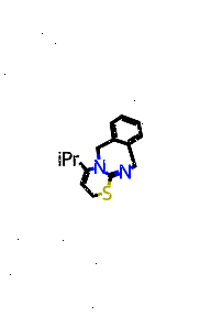 CC(C)C1=CCSC2=NCc3ccccc3CN12